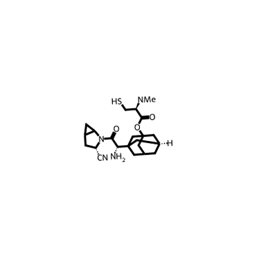 CN[C@H](CS)C(=O)OC12CC3C[C@H](C1)CC([C@H](N)C(=O)N1C4CC4C[C@H]1C#N)(C3)C2